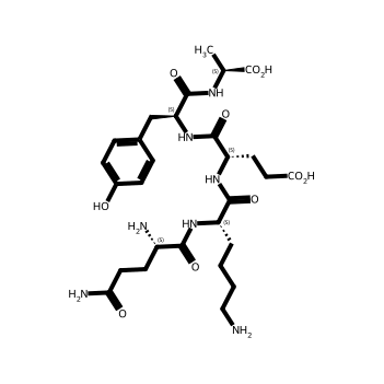 C[C@H](NC(=O)[C@H](Cc1ccc(O)cc1)NC(=O)[C@H](CCC(=O)O)NC(=O)[C@H](CCCCN)NC(=O)[C@@H](N)CCC(N)=O)C(=O)O